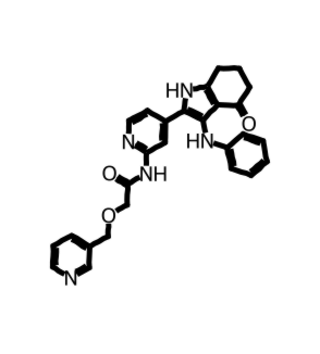 O=C(COCc1cccnc1)Nc1cc(-c2[nH]c3c(c2Nc2ccccc2)C(=O)CCC3)ccn1